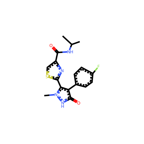 CC(C)NC(=O)c1csc(-c2c(-c3ccc(F)cc3)c(=O)[nH]n2C)n1